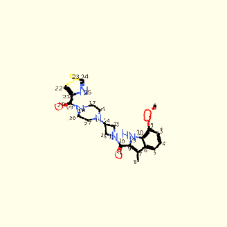 COc1cccc2c(C)c(C(=O)N3CC(N4CCN(C(=O)c5cscn5)CC4)C3)[nH]c12